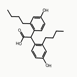 CCCCc1cc(O)ccc1C(C(=O)O)c1ccc(O)cc1CCCC